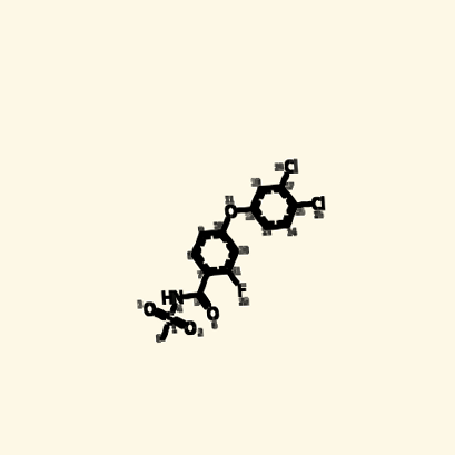 CS(=O)(=O)NC(=O)c1ccc(Oc2ccc(Cl)c(Cl)c2)cc1F